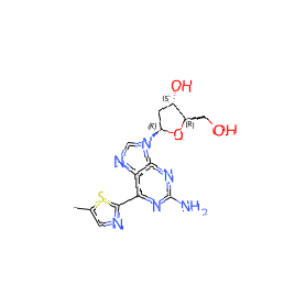 Cc1cnc(-c2nc(N)nc3c2ncn3[C@H]2C[C@H](O)[C@@H](CO)O2)s1